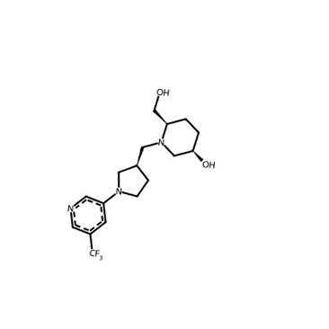 OC[C@H]1CC[C@@H](O)CN1C[C@H]1CCN(c2cncc(C(F)(F)F)c2)C1